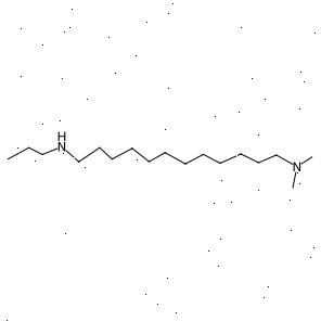 CCCNCCCCCCCCCCCCN(C)C